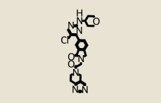 O=C(CN1Cc2ccc(-c3nc(NC4CCOCC4)ncc3Cl)cc2C1=O)N1CCc2ncncc2C1